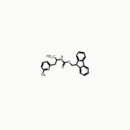 N#Cc1cccc(CC(NC(=O)OCC2c3ccccc3-c3ccccc32)C(=O)O)n1